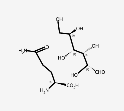 NC(=O)CC[C@H](N)C(=O)O.O=C[C@H](O)[C@@H](O)[C@H](O)[C@H](O)CO